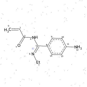 C=CC(=O)N/C(=N/CC)c1ccc(N)cc1